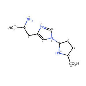 NC(Cc1cn(C2CCC(C(=O)O)N2)cn1)C(=O)O